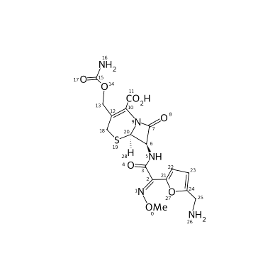 CO/N=C(/C(=O)N[C@@H]1C(=O)N2C(C(=O)O)=C(COC(N)=O)CS[C@H]12)c1ccc(CN)o1